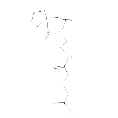 NC(=O)CSCC(=O)NCCN1C(=O)CC2(CCCC2)C1=O